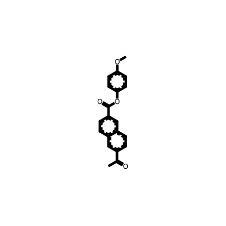 COc1ccc(OC(=O)c2ccc3cc(C(C)=O)ccc3c2)cc1